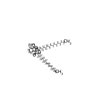 CCCCCCCCCCCCCCCC(=O)OC(C(=O)CCCCCCCCCCCCCCC)c1ccccc1C(=O)O